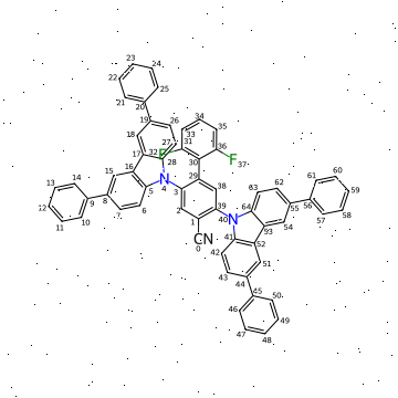 N#Cc1cc(-n2c3ccc(-c4ccccc4)cc3c3cc(-c4ccccc4)ccc32)c(-c2c(F)cccc2F)cc1-n1c2ccc(-c3ccccc3)cc2c2cc(-c3ccccc3)ccc21